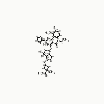 CCOC(=O)C1=C(CN2CC(F)(F)C3C2CCN3CC2CC(C)(C(=O)O)C2)NC(c2nccs2)=N[C@H]1c1cccc(F)c1C